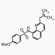 COc1ccc(S(=O)(=O)Nc2cccc3ccc(CN(C)C)nc23)cc1